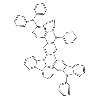 c1ccc(N(c2ccccc2)c2ccc(-c3cc(-n4c5ccccc5c5ccccc54)c(-c4ccc5c(c4)c4ccccc4n5-c4ccccc4)cc3N(c3ccccc3)c3ccccc3)cc2)cc1